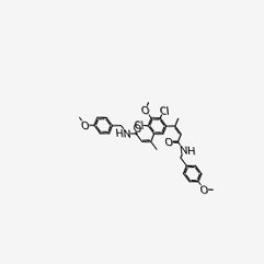 COc1ccc(CNC(=O)/C=C(/C)c2cc(/C(C)=C\C(=O)NCc3ccc(OC)cc3)c(Cl)c(OC)c2Cl)cc1